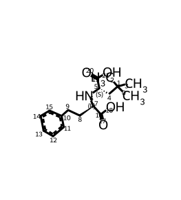 CC(C)(C)C[C@H](N[C@H](CCc1ccccc1)C(=O)O)C(=O)O